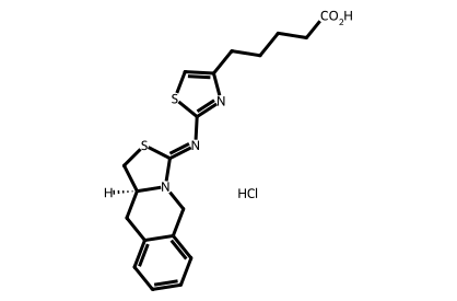 Cl.O=C(O)CCCCc1csc(/N=C2\SC[C@@H]3Cc4ccccc4CN23)n1